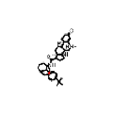 CC(C)(C)c1ccc(C2C3CCCC2(NC(=O)C2CC[C@H]4[C@@H]5CNC6=CC(=O)CC[C@]6(C)[C@@H]5CC[C@]24C)CCC3)cc1